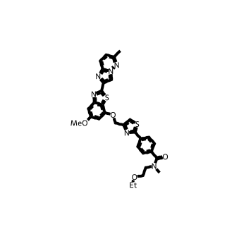 CCOCCN(C)C(=O)c1ccc(-c2nc(COc3cc(OC)cc4nc(-c5cn6nc(C)ccc6n5)sc34)cs2)cc1